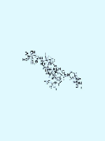 C=C(C)[C@@H]1CC[C@]2(CC(=O)N3CC[C@@H](NS(C)(=O)=O)C3)CC[C@]3(C)[C@H](CC[C@@H]4[C@@]5(C)CC[C@H](OC(=O)CC(C)(C)C(=O)O)C(C)(C)[C@@H]5CC[C@]43C)[C@@H]12